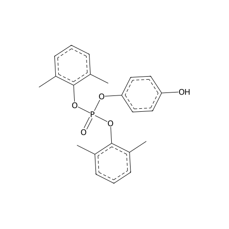 Cc1cccc(C)c1OP(=O)(Oc1ccc(O)cc1)Oc1c(C)cccc1C